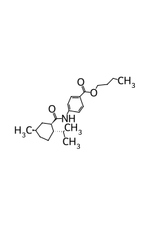 CCCCOC(=O)c1ccc(NC(=O)[C@@H]2C[C@H](C)CC[C@H]2C(C)C)cc1